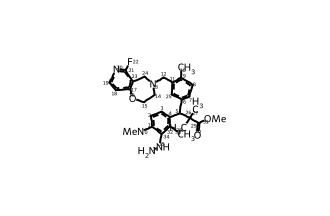 CNc1ccc(C(c2ccc(C)c(CN3CCOc4ccnc(F)c4C3)c2)C(C)(C)C(=O)OC)c(C)c1NN